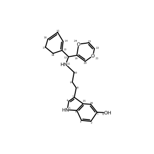 Oc1ccc2[nH]cc(CCCNC(C3=CC=CCC3)C3=COC=CO3)c2c1